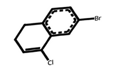 ClC1=CCCc2ccc(Br)cc21